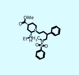 CCN[C@H]1C[C@@H](C(=O)OC)CCN1CCC(CN(C)S(=O)(=O)c1ccccc1)c1ccccc1